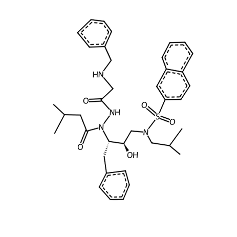 CC(C)CC(=O)N(NC(=O)CNCc1ccccc1)[C@@H](Cc1ccccc1)[C@H](O)CN(CC(C)C)S(=O)(=O)c1ccc2ccccc2c1